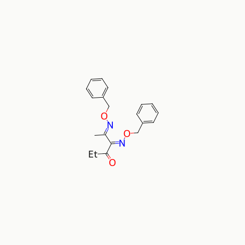 CCC(=O)C(=NOCc1ccccc1)C(C)=NOCc1ccccc1